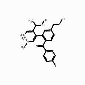 CC(C)SCc1ccc(C(=O)c2ccc(F)cc2)c(C(=C/N(C)C)/C(=C\C=O)C(C)NS)c1